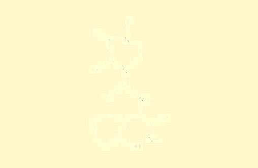 CCN1CCN(C(=O)NC(C([NH])=O)c2ccccc2O)C(=O)C1=O